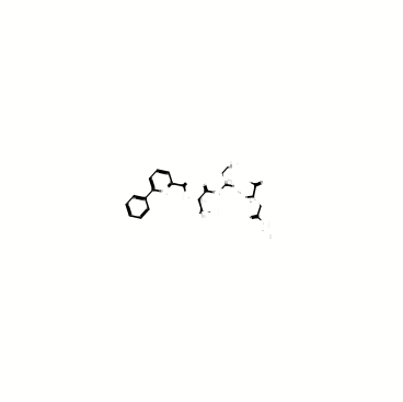 CC(C)C[C@H](NC(=O)[C@@H](NC(=O)c1cccc(-c2ccccc2)n1)[C@@H](C)O)B1OC(=O)[C@@H](CC(=O)NC(C)(C)C)O1